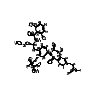 CN(C)Cc1ccc2c(=O)n(-c3ccc(C[C@H](NC(=O)c4c(Cl)cccc4Cl)C(=O)O)cc3)c(=O)n(C)c2c1.O=C(O)C(F)(F)F